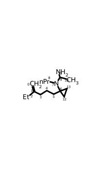 C=C(CC)CCCC1(N(CCC)C(C)N)CC1